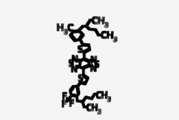 CCCCC(CC)Cc1cc(-c2ccc(-c3c4c(c(-c5ccc(-c6ccc(C(F)(F)F)c(CC(CC)CCCC)c6)s5)c5nsnc35)N=S=N4)s2)ccc1C